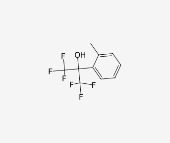 Cc1ccccc1C(O)(C(F)(F)F)C(F)(F)F